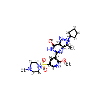 CCOc1ncc(S(=O)(=O)N2CCN(CC)CC2)cc1-c1nc2c(CC)n(C3CCCC3)nc2c(=O)[nH]1